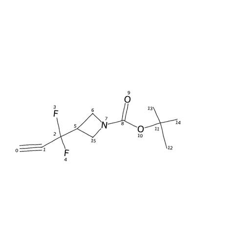 C#CC(F)(F)C1CN(C(=O)OC(C)(C)C)C1